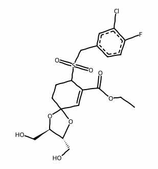 CCOC(=O)C1=CC2(CCC1S(=O)(=O)Cc1ccc(F)c(Cl)c1)O[C@H](CO)[C@@H](CO)O2